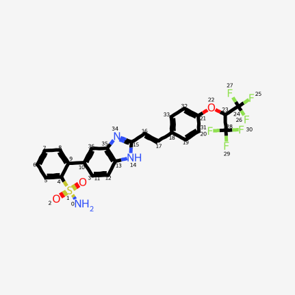 NS(=O)(=O)c1ccccc1-c1ccc2[nH]c(C=Cc3ccc(OC(C(F)(F)F)C(F)(F)F)cc3)nc2c1